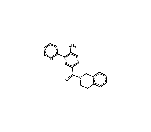 Cc1ccc(C(=O)N2CCc3ccccc3C2)cc1-c1ccccn1